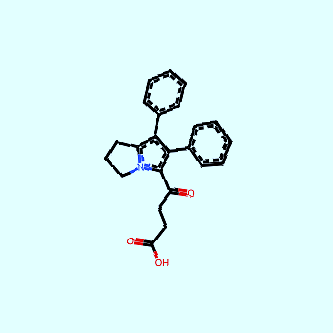 O=C(O)CCC(=O)c1c(-c2ccccc2)c(-c2ccccc2)c2n1CCC2